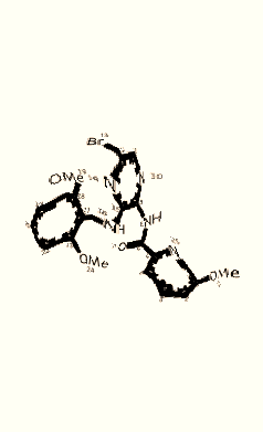 COc1cccc(C(=O)Nc2ncc(Br)nc2Nc2c(OC)cccc2OC)n1